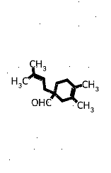 CC(C)=CCC1(C=O)CCC(C)=C(C)C1